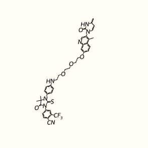 C=C1C=CN(c2cnc3cc(OCCOCCOCCNc4ccc(N5C(=S)N(c6ccc(C#N)c(C(F)(F)F)c6)C(=O)C5(C)C)cc4)ccc3c2C)C(=O)N1